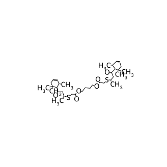 CC1C=CCC(C)(C)C1C(=O)C[C@@H](C)SCC(=O)OCCCCOC(=O)CS[C@@H](C)CC(=O)C1C(C)C=CCC1(C)C